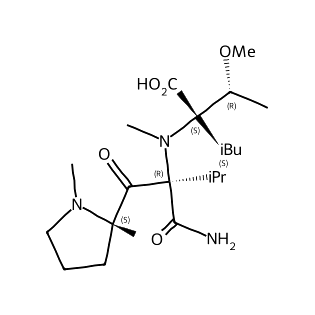 CC[C@H](C)[C@@](C(=O)O)([C@@H](C)OC)N(C)[C@@](C(N)=O)(C(=O)[C@]1(C)CCCN1C)C(C)C